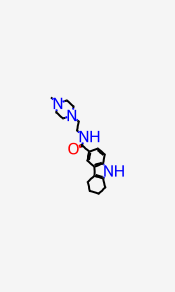 CN1CCN(CCNC(=O)c2ccc3[nH]c4c(c3c2)CCCC4)CC1